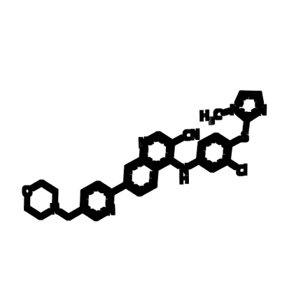 Cn1ccnc1Sc1ccc(Nc2c(C#N)cnc3cc(-c4ccc(CN5CCOCC5)cn4)ccc23)cc1Cl